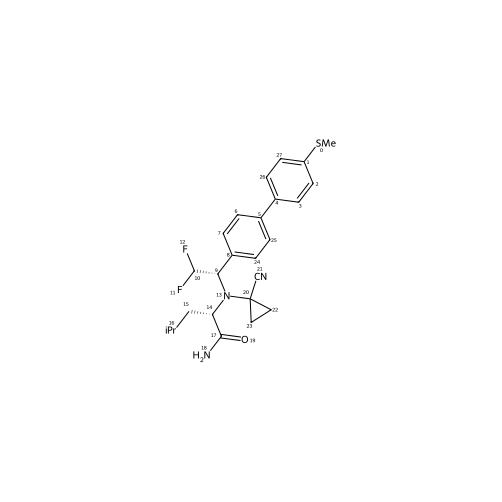 CSc1ccc(-c2ccc([C@@H](C(F)F)N([C@@H](CC(C)C)C(N)=O)C3(C#N)CC3)cc2)cc1